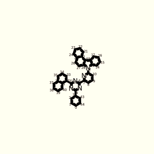 c1ccc(-c2nc(-c3cccc(-n4c5ccccc5c5c6ccccc6ccc54)n3)nc(-c3cccc4ccccc34)n2)cc1